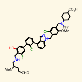 CCCN(Cc1cc(Cl)c(Cn2ncc3c(-c4cccc(-c5cc(O)c(CNCC(CCC=O)NC)c(F)c5)c4Cl)cccc32)cc1OC)C1CCC(C(=O)O)CC1